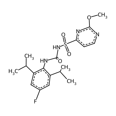 COc1nccc(S(=O)(=O)NC(=O)Nc2c(C(C)C)cc(F)cc2C(C)C)n1